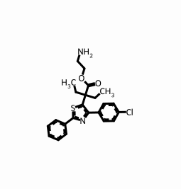 CCC(CC)(C(=O)OCCN)c1sc(-c2ccccc2)nc1-c1ccc(Cl)cc1